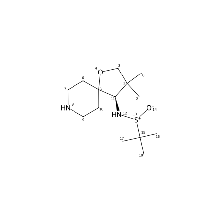 CC1(C)COC2(CCNCC2)[C@@H]1N[S+]([O-])C(C)(C)C